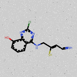 N=C/C=C(\S)CNc1nc(Cl)nc2c(O)cccc12